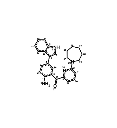 Nc1ncc(-c2c[nH]c3ccccc23)cc1C(=O)c1cccc(N2CCCCCC2)n1